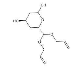 C=CCOC(OCC=C)[C@@H]1C[C@@H](O)CC(O)O1